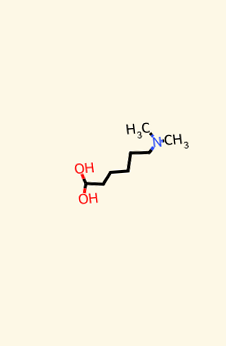 CN(C)CCCCCC(O)O